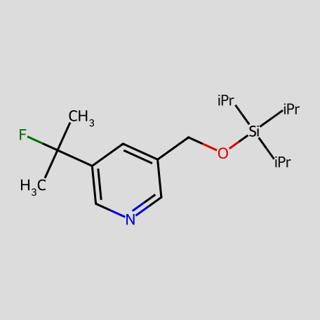 CC(C)[Si](OCc1cncc(C(C)(C)F)c1)(C(C)C)C(C)C